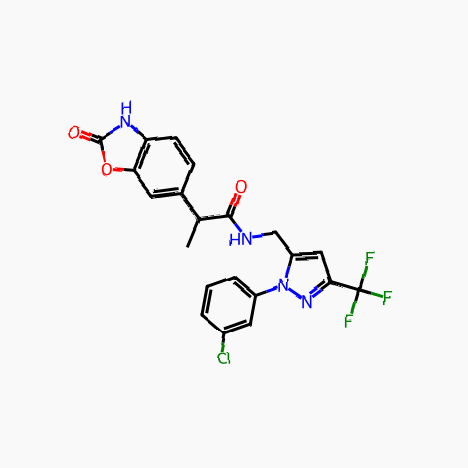 CC(C(=O)NCc1cc(C(F)(F)F)nn1-c1cccc(Cl)c1)c1ccc2[nH]c(=O)oc2c1